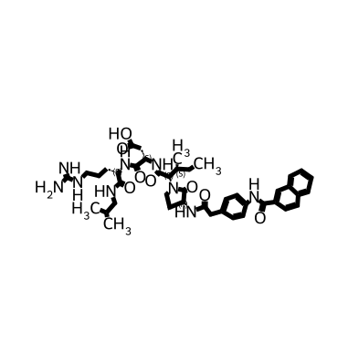 CC[C@H](C)[C@@H](C(=O)N[C@@H](CC(=O)O)C(=O)N[C@@H](CCCNC(=N)N)C(=O)NCC(C)C)N1CC[C@@H](NC(=O)Cc2ccc(NC(=O)c3ccc4ccccc4c3)cc2)C1=O